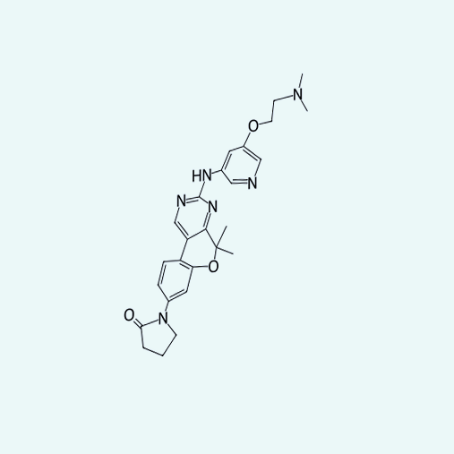 CN(C)CCOc1cncc(Nc2ncc3c(n2)C(C)(C)Oc2cc(N4CCCC4=O)ccc2-3)c1